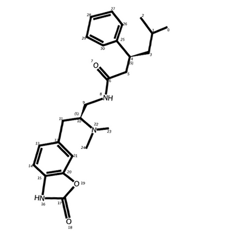 CC(C)C[C@@H](CC(=O)NC[C@H](Cc1ccc2[nH]c(=O)oc2c1)N(C)C)c1ccccc1